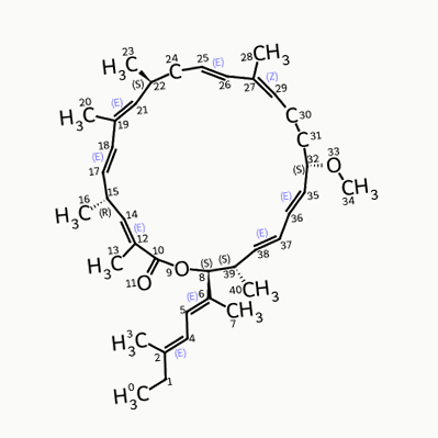 CC/C(C)=C/C=C(\C)[C@H]1OC(=O)/C(C)=C/[C@H](C)/C=C/C(C)=C/[C@@H](C)C/C=C/C(C)=C\CC[C@H](OC)/C=C/C=C/[C@@H]1C